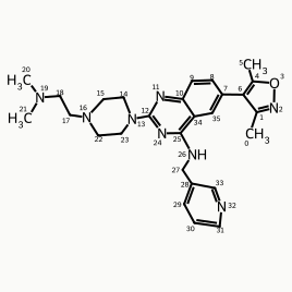 Cc1noc(C)c1-c1ccc2nc(N3CCN(CCN(C)C)CC3)nc(NCc3cccnc3)c2c1